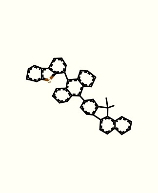 CC1(C)c2cc(-c3c4ccccc4c(-c4cccc5c4sc4ccccc45)c4ccccc34)ccc2-c2ccc3ccccc3c21